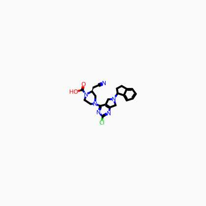 N#CC[C@H]1CN(c2nc(Cl)nc3c2CN(C2CCc4ccccc42)C3)CCN1C(=O)O